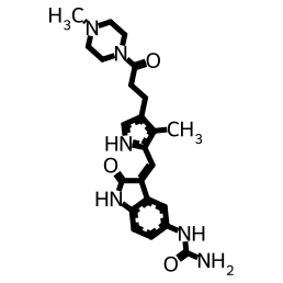 Cc1c(CCC(=O)N2CCN(C)CC2)c[nH]c1C=C1C(=O)Nc2ccc(NC(N)=O)cc21